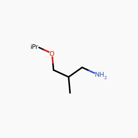 CC(CN)COC(C)C